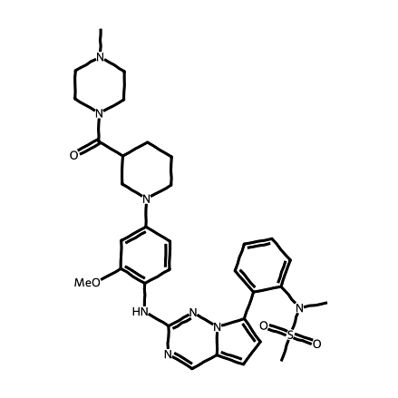 COc1cc(N2CCCC(C(=O)N3CCN(C)CC3)C2)ccc1Nc1ncc2ccc(-c3ccccc3N(C)S(C)(=O)=O)n2n1